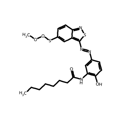 CCCCCCCC(=O)Nc1cc(N=Nc2snc3ccc(SOOC)cc23)ccc1O